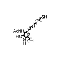 CC(=O)NC1C(OCCOCCOCCS)OC(CO)C(O)C1O